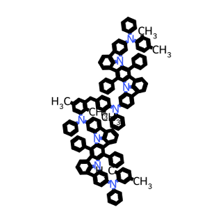 Cc1ccc(N(c2ccccc2)c2ccc3c4cccc5c6c(-c7ccccc7)c7c(c(-c8ccccc8)c6n(c3c2)c45)c2cccc3c4ccc(N(c5ccccc5)c5ccc(Cc6cc(C)cc(N(c8ccccc8)c8ccc9c%10cccc%11c%12c(-c%13ccccc%13)c%13c(c(-c%14ccccc%14)c%12n(c9c8)c%10%11)c8cccc9c%10ccc(N(c%11ccccc%11)c%11cc(C)ccc%11C)cc%10n%13c98)c6C)cc5C)cc4n7c32)c(C)c1